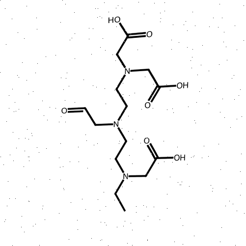 CCN(CCN(CC=O)CCN(CC(=O)O)CC(=O)O)CC(=O)O